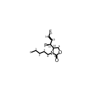 CCCCCN1C(=O)OCC1C(F)C=CF